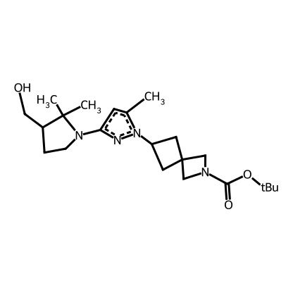 Cc1cc(N2CCC(CO)C2(C)C)nn1C1CC2(C1)CN(C(=O)OC(C)(C)C)C2